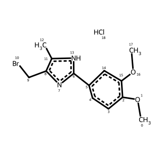 COc1ccc(-c2nc(CBr)c(C)[nH]2)cc1OC.Cl